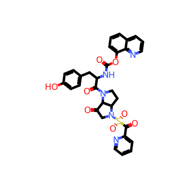 O=C(NC(Cc1ccc(O)cc1)C(=O)N1CCC2C1C(=O)CN2S(=O)(=O)C(=O)c1ccccn1)Oc1cccc2cccnc12